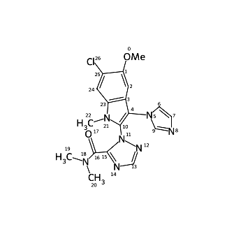 COc1cc2c(-n3ccnc3)c(-n3ncnc3C(=O)N(C)C)n(C)c2cc1Cl